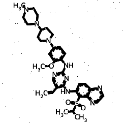 C=Cc1cnc(Nc2ccc(N3CCC(N4CCN(C)CC4)CC3)cc2OC)nc1Nc1ccc2nccnc2c1S(=O)(=O)C(C)C